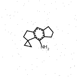 Nc1c2c(cc3c1C1(CC3)CC1)CCC2